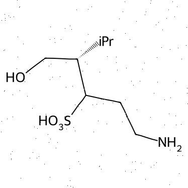 CC(C)[C@@H](CO)C(CCN)S(=O)(=O)O